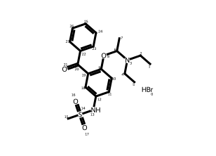 Br.CCN(CC)C(C)Oc1ccc(NS(C)(=O)=O)cc1C(=O)c1ccccc1